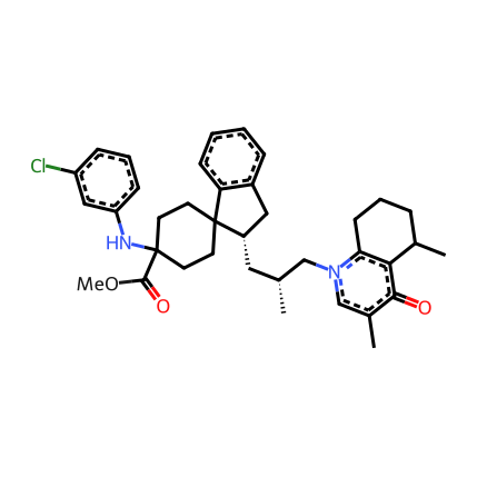 COC(=O)C1(Nc2cccc(Cl)c2)CCC2(CC1)c1ccccc1C[C@@H]2C[C@@H](C)Cn1cc(C)c(=O)c2c1CCCC2C